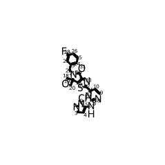 Cn1nccc1Nc1nccc(-c2nc3c(s2)C2(COC2)N(Cc2cccc(F)c2)C3=O)n1